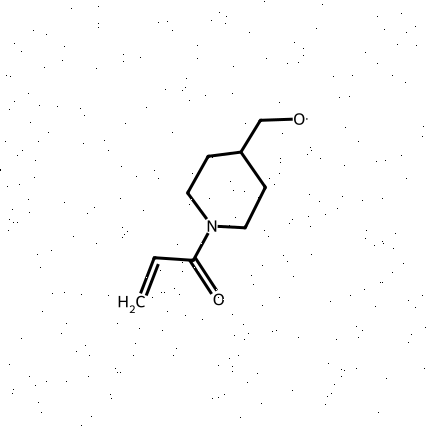 C=CC(=O)N1CCC(C[O])CC1